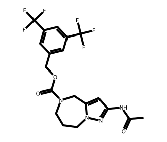 CC(=O)Nc1cc2n(n1)CCCN(C(=O)OCc1cc(C(F)(F)F)cc(C(F)(F)F)c1)C2